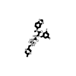 Cc1cnc(CNS(=O)(=O)NC(=O)N[C@@H](Cc2cc(F)cc(F)c2)C(=O)N(C)c2ccc3scnc3c2)cn1